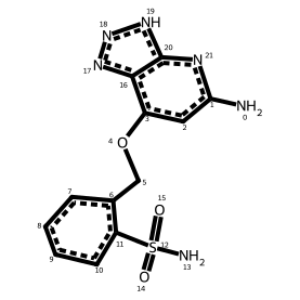 Nc1cc(OCc2ccccc2S(N)(=O)=O)c2nn[nH]c2n1